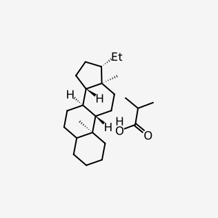 CC(C)C(=O)O.CC[C@H]1CC[C@H]2[C@@H]3CCC4CCCC[C@]4(C)[C@H]3CC[C@]12C